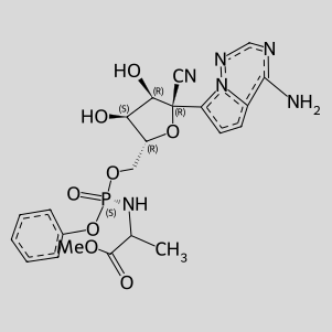 COC(=O)C(C)N[P@](=O)(OC[C@H]1O[C@@](C#N)(c2ccc3c(N)ncnn23)[C@H](O)[C@@H]1O)Oc1ccccc1